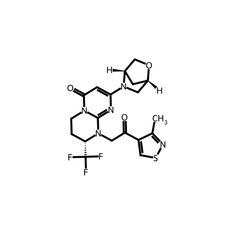 Cc1nscc1C(=O)CN1c2nc(N3C[C@@H]4C[C@H]3CO4)cc(=O)n2CC[C@H]1C(F)(F)F